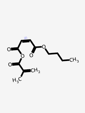 C=C(C)C(=O)OC(=O)/C=C\C(=O)OCCCC